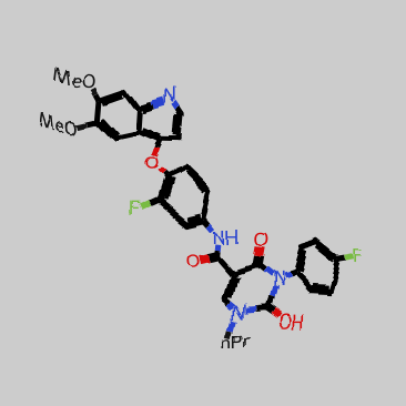 CCCN1C=C(C(=O)Nc2ccc(Oc3ccnc4cc(OC)c(OC)cc34)c(F)c2)C(=O)N(c2ccc(F)cc2)C1O